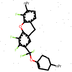 CCCc1ccc2c(c1F)Oc1c(cc(C(F)(F)OC3=CCC(CCC)CC3)c(F)c1F)C2